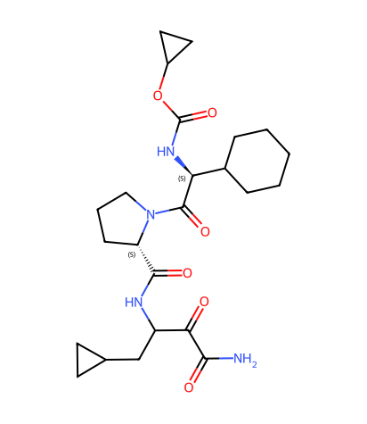 NC(=O)C(=O)C(CC1CC1)NC(=O)[C@@H]1CCCN1C(=O)[C@@H](NC(=O)OC1CC1)C1CCCCC1